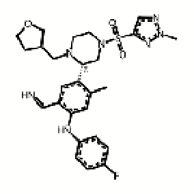 Cc1cc(Nc2ccc(F)cc2)c(C=N)cc1[C@H]1CN(S(=O)(=O)c2cnn(C)n2)CCN1CC1CCOC1